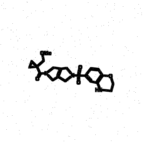 COCC1(C(=O)N2CC3=C(C2)CN(S(=O)(=O)c2ccc4c(c2)NCCO4)C3)CC1